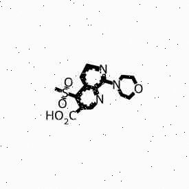 CS(=O)(=O)c1c(C(=O)O)cnc2c(N3CCOCC3)nccc12